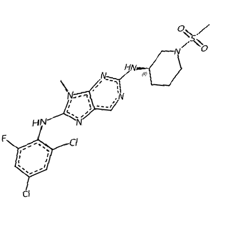 Cn1c(Nc2c(F)cc(Cl)cc2Cl)nc2cnc(N[C@@H]3CCCN(S(C)(=O)=O)C3)nc21